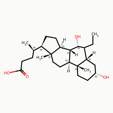 CCC1[C@@H](O)[C@@H]2[C@H](CC[C@]3(C)[C@@H]([C@H](C)CCC(=O)O)CC[C@@H]23)[C@@]2(C)CC[C@@H](O)C[C@@H]12